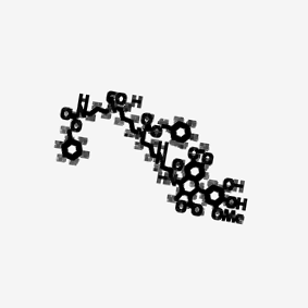 COc1cc(C2c3cc4c(cc3C(NC(=O)CNCCCN(CCCCN(CCCNC(=O)OCc3ccccc3)C(=O)O)C(=O)OCc3ccccc3)C3COC(=O)C23)OCO4)cc(O)c1O